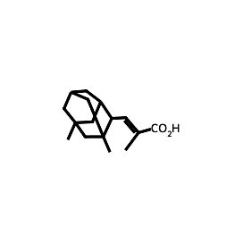 CC(=CC1C2CC3CC(C)(C2)CC1(C)C3)C(=O)O